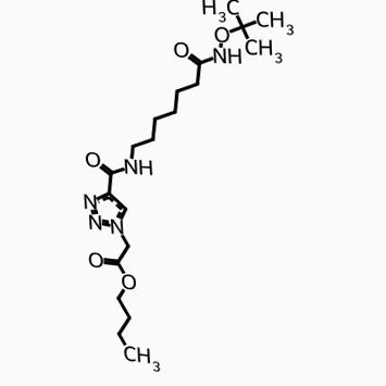 CCCCOC(=O)Cn1cc(C(=O)NCCCCCCC(=O)NOC(C)(C)C)nn1